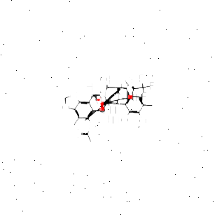 COc1c(C)cc2c(c1O)C1NC(C2)[C@H](O)N2[C@H]1[C@@H]1SCC(NC(=O)C(F)(F)F)C(=O)OC[C@H]2c2c3c(c(C)c(OC(C)=O)c21)OCO3